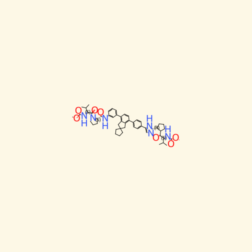 COC(=O)N[C@H](C(=O)C1CCC[C@H]1c1ncc(-c2ccc(-c3ccc(-c4cccc(NC(=O)[C@@H]5CCCN5C(=O)[C@@H](NC(=O)OC)C(C)C)c4)c4c3CC3(CCCC3)C4)cc2)[nH]1)C(C)C